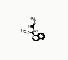 CC(C)(C)OC(=O)N[C@H](C(=O)O)[C@H]1CCCc2ccccc21